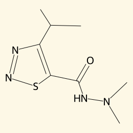 CC(C)c1nnsc1C(=O)NN(C)C